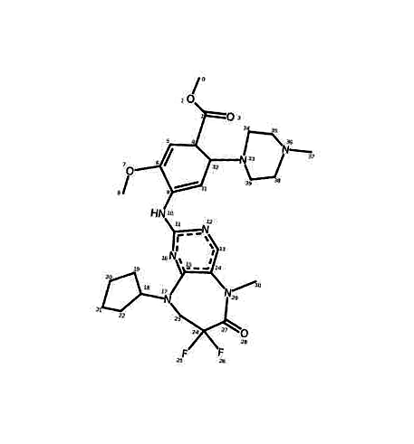 COC(=O)C1C=C(OC)C(Nc2ncc3c(n2)N(C2CCCC2)CC(F)(F)C(=O)N3C)=CC1N1CCN(C)CC1